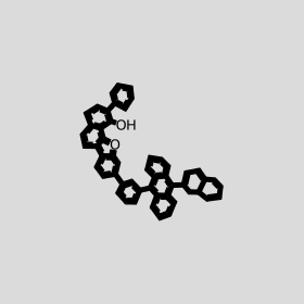 Oc1c(-c2ccccc2)ccc2ccc3c4ccc(-c5cccc(-c6c7ccccc7c(C7=CC=C8C=CC=CC8C7)c7ccccc67)c5)cc4oc3c12